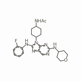 CC(=O)NC1CCC(n2c(Nc3ccccc3F)nc3cnc(NC4CCOCC4)nc32)CC1